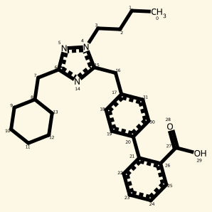 CCCCn1nc(CC2CCCCC2)nc1Cc1ccc(-c2ccccc2C(=O)O)cc1